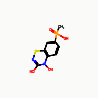 CP(=O)(O)c1ccc2c(c1)SN=C(O)N2O